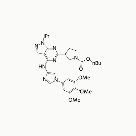 CCCCOC(=O)N1CCC(c2nc(Nc3cn(-c4cc(OC)c(OC)c(OC)c4)cn3)c3cnn(C(C)C)c3n2)C1